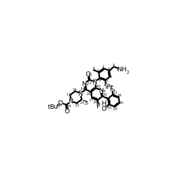 Cc1cc(CN)cc(C(C)C)c1-n1c(=O)nc(N2CCN(C(=O)OC(C)(C)C)C[C@@H]2C)c2cc(F)c(-c3c(O)cccc3F)nc21